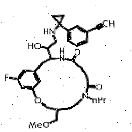 C#Cc1cccc(C2(NCC(O)C3Cc4cc(F)cc(c4)OCC(COC)CCN(CCC)C(=O)CCC(=O)N3)CC2)c1